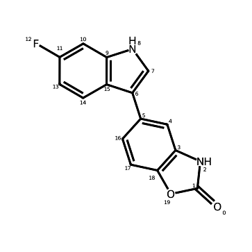 O=c1[nH]c2cc(-c3c[nH]c4cc(F)ccc34)ccc2o1